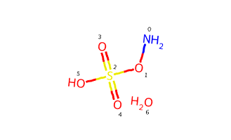 NOS(=O)(=O)O.O